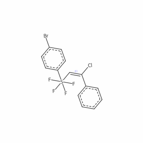 FS(F)(F)(F)(/C=C(/Cl)c1ccccc1)c1ccc(Br)cc1